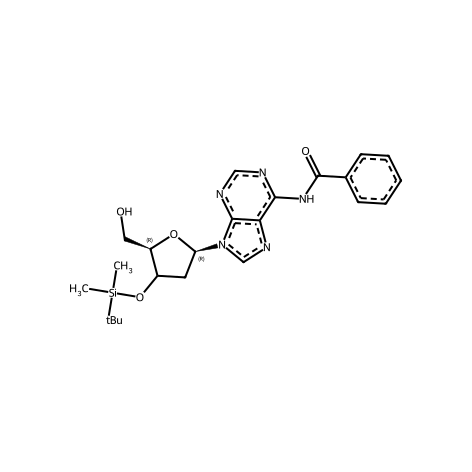 CC(C)(C)[Si](C)(C)OC1C[C@H](n2cnc3c(NC(=O)c4ccccc4)ncnc32)O[C@@H]1CO